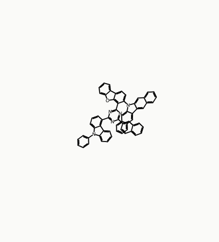 c1ccc(-n2c3ccccc3c3c(-c4nc(-c5ccc6ccccc6c5)nc(-c5c(-n6c7cc8ccccc8cc7c7cc8ccccc8cc76)ccc6c5oc5ccccc56)n4)cccc32)cc1